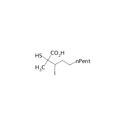 CCCCCCCC(I)C(C)(S)C(=O)O